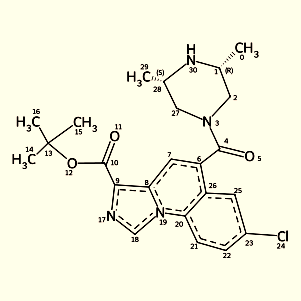 C[C@@H]1CN(C(=O)c2cc3c(C(=O)OC(C)(C)C)ncn3c3ccc(Cl)cc23)C[C@H](C)N1